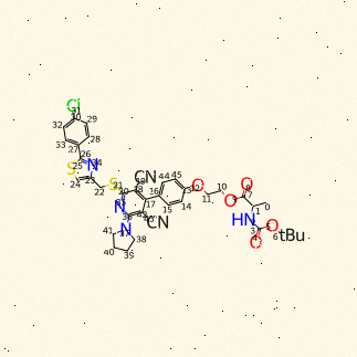 CC(NC(=O)OC(C)(C)C)C(=O)OCCOc1ccc(-c2c(C#N)c(SCc3csc(-c4ccc(Cl)cc4)n3)nc(N3CCCC3)c2C#N)cc1